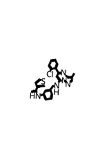 C=C(Nc1cccc(CNc2cc(-c3ccccc3Cl)nc3c(C)cnn23)c1)c1ccsc1